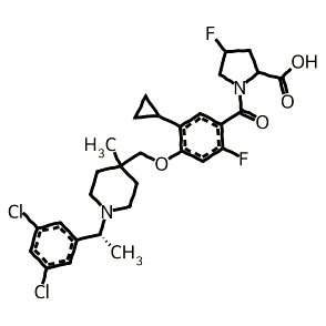 C[C@H](c1cc(Cl)cc(Cl)c1)N1CCC(C)(COc2cc(F)c(C(=O)N3CC(F)CC3C(=O)O)cc2C2CC2)CC1